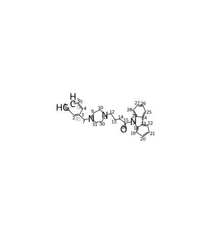 C#C/C=C(\C=C/C)CN1CCN(CCCC(=O)n2c3ccccc3c3ccccc32)CC1